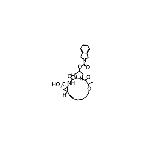 C[C@H]1OCCCC/C=C\[C@@H]2C[C@@]2(C(=O)O)NC(=O)[C@@H]2C[C@@H](OC(=O)N3Cc4ccccc4C3)CN2C1=O